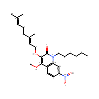 CCCCCCn1c(=O)c(OC/C=C(\C)CCC=C(C)C)c(OC)c2ccc([N+](=O)[O-])cc21